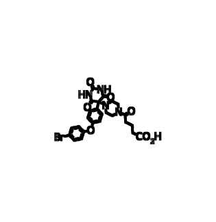 O=C(O)CCCC(=O)N1CCN(C2(c3ccc(Oc4ccc(Br)cc4)cc3)C(=O)NC(=O)NC2=O)CC1